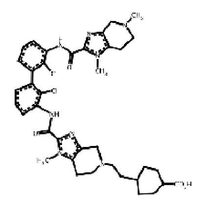 CN1CCc2c(nc(C(=O)Nc3cccc(-c4cccc(NC(=O)c5nc6c(n5C)CCN(CCC5CCC(C(=O)O)CC5)C6)c4Cl)c3Cl)n2C)C1